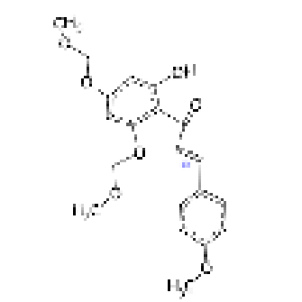 COCOc1cc(O)c(C(=O)/C=C/c2ccc(OC)cc2)c(OCOC)c1